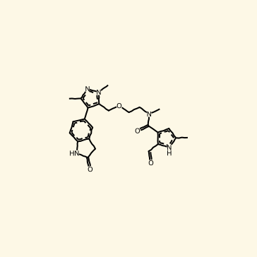 Cc1cc(C(=O)N(C)CCOCc2c(-c3ccc4c(c3)CC(=O)N4)c(C)nn2C)c(C=O)[nH]1